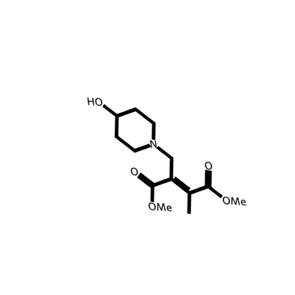 COC(=O)C(C)=C(CN1CCC(O)CC1)C(=O)OC